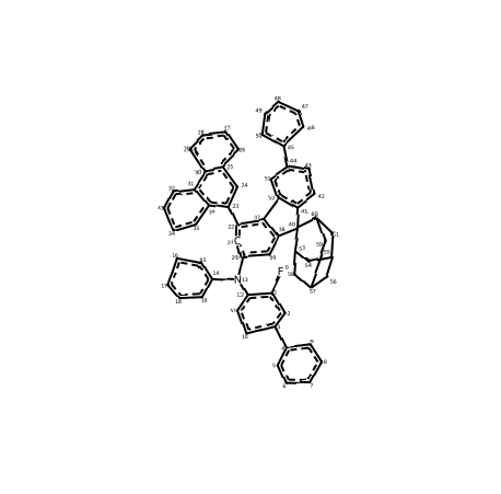 Fc1cc(-c2ccccc2)ccc1N(c1ccccc1)c1cc(-c2cc3ccccc3c3ccccc23)c2c(c1)C1(c3ccc(-c4ccccc4)cc3-2)C2CC3CC(C2)CC1C3